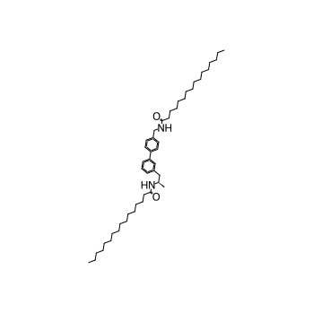 CCCCCCCCCCCCCCCC(=O)NCc1ccc(-c2cccc(C[C@@H](C)NC(=O)CCCCCCCCCCCCCCC)c2)cc1